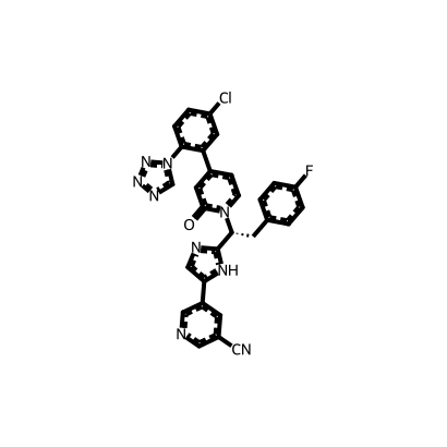 N#Cc1cncc(-c2cnc([C@@H](Cc3ccc(F)cc3)n3ccc(-c4cc(Cl)ccc4-n4cnnn4)cc3=O)[nH]2)c1